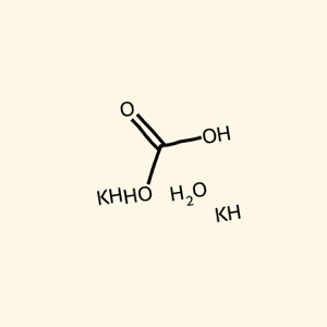 O.O=C(O)O.[KH].[KH]